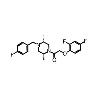 C[C@@H]1CN(C(=O)COc2ccc(F)cc2F)[C@@H](C)CN1Cc1ccc(F)cc1